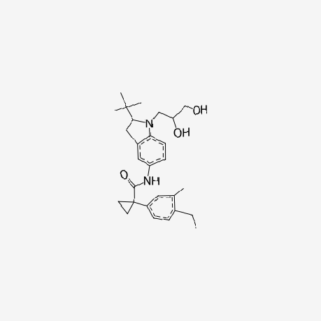 CCc1ccc(C2(C(=O)Nc3ccc4c(c3)CC(C(C)(C)C)N4CC(O)CO)CC2)cc1C